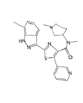 Cc1cccc2c(-c3nc(C(=O)N(C)C4CCN(C)C4)c(-c4cccnc4)s3)n[nH]c12